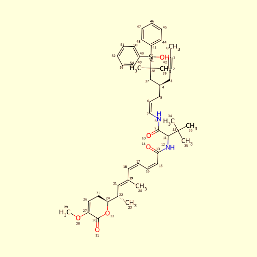 CC#CC[C@@H](C/C=C\NC(=O)C(NC(=O)\C=C/C=C\C(C)=C\[C@H](C)[C@@H]1CC=C(OC)C(=O)O1)C(C)(C)C)CC(C)(C)[Si](O)(c1ccccc1)c1ccccc1